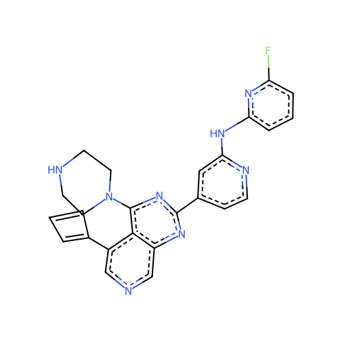 Fc1cccc(Nc2cc(-c3nc(N4CCNCC4)c4c(C5=CC=C5)cncc4n3)ccn2)n1